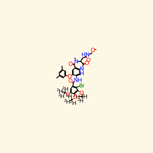 [2H]C([2H])([2H])Oc1cc(C(=O)Nc2cc3c(cc2Oc2cc(C)cc(C)c2)C(=O)N(C)C(CC(=O)NCOC)C(=O)N3)c(Br)c(OC([2H])([2H])[2H])c1OC([2H])([2H])[2H]